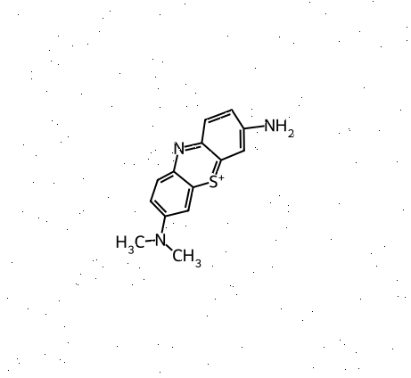 CN(C)c1ccc2nc3ccc(N)cc3[s+]c2c1